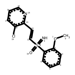 COc1ccccc1S(=N)(=O)/C=C/c1ncccc1Cl